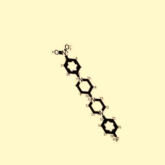 O=[N+]([O-])c1ccc(N2CCC(N3CCN(c4ccc(F)cc4)CC3)CC2)cc1